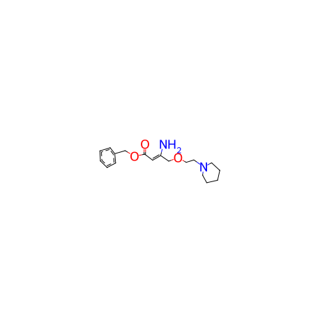 N/C(=C\C(=O)OCc1ccccc1)COCCN1CCCCC1